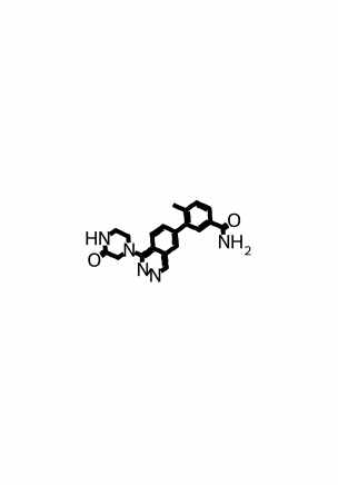 Cc1ccc(C(N)=O)cc1-c1ccc2c(N3CCNC(=O)C3)nncc2c1